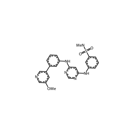 CNS(=O)(=O)c1cccc(Nc2cc(Nc3cccc(-c4cncc(OC)c4)c3)ncn2)c1